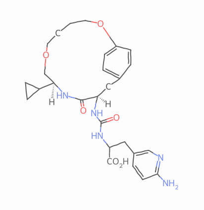 Nc1ccc(CC(NC(=O)N[C@@H]2Cc3ccc(cc3)OCCCCOC[C@H](C3CC3)NC2=O)C(=O)O)cn1